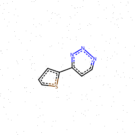 c1csc(-c2ccnnn2)c1